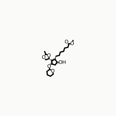 COC(=O)CCCCCC[C@@H]1[C@@H](C2COC(C)O2)[C@H](OC2CCCCO2)C[C@@H]1O